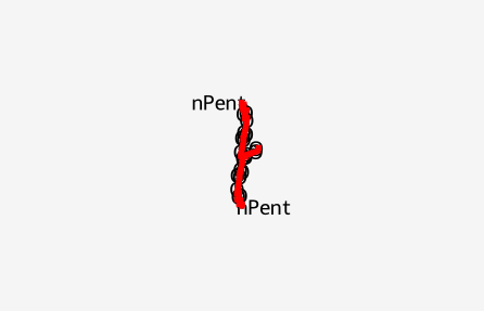 CCCCC[C@H]1CC[C@H](c2ccc(OC(=O)c3ccc(OCCCCCCCCOC(=O)CCC(=O)OCCCCCCCCOc4ccc(OCCCCCCCCOC(=O)CCC(=O)OCCCCCCCCOc5ccc(C(=O)Oc6ccc([C@H]7CC[C@H](CCCCC)CC7)cc6)cc5)c(C(=O)OCCCCCCOC5CCCCO5)c4)cc3)cc2)CC1